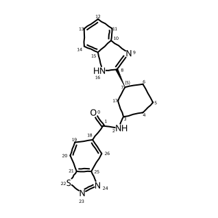 O=C(NC1CCC[C@H](c2nc3ccccc3[nH]2)C1)c1ccc2snnc2c1